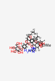 COC(=O)/C(C)=C\CC1(O)C(=O)C(C)C(n2cnc(N)n2)C2C(=O)c3c(OC(=O)c4ccc(O[C@@H]5O[C@H](CO)[C@@H](O)[C@H](O)[C@H]5O)cc4)c4c(c(CC=C(C)C)c3OC21C(C)C(C)C)OC(C)(CCC=C(C)C)C=C4